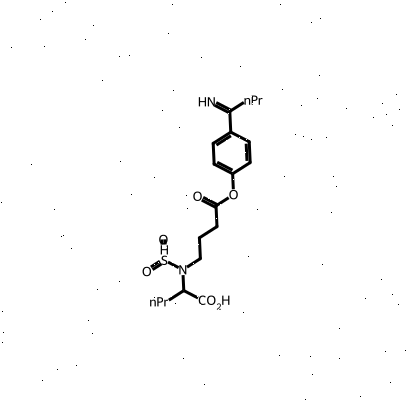 CCCC(=N)c1ccc(OC(=O)CCCN(C(CCC)C(=O)O)[SH](=O)=O)cc1